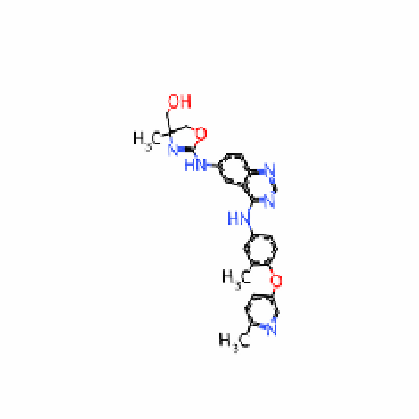 Cc1ccc(Oc2ccc(Nc3ncnc4ccc(NC5=NC(C)(CO)CO5)cc34)cc2C)cn1